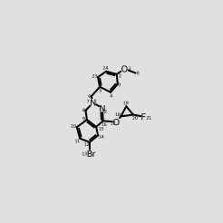 COc1ccc(CN2Cc3ccc(Br)cc3C(OC3CC3F)=N2)cc1